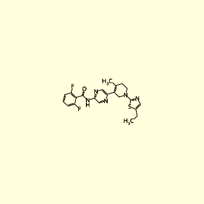 CCc1cnc(N2CCC(C)=C(c3cnc(NC(=O)c4c(F)cccc4F)cn3)C2)s1